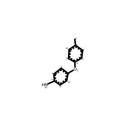 Cc1ccc(Oc2ccc([NH])cc2)cc1